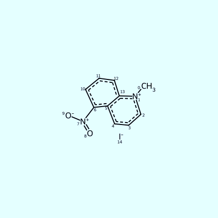 C[n+]1cccc2c([N+](=O)[O-])cccc21.[I-]